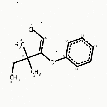 CCC(C)(C)C(=CCl)Oc1ccccc1